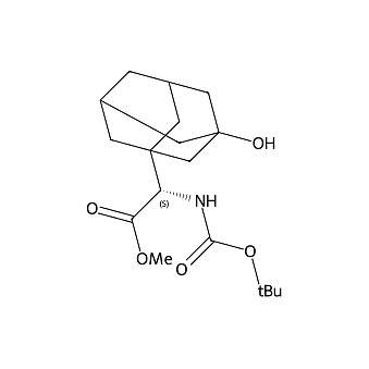 COC(=O)[C@@H](NC(=O)OC(C)(C)C)C12CC3CC(CC(O)(C3)C1)C2